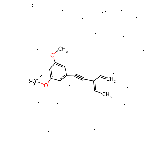 C=C/C(C#Cc1cc(OC)cc(OC)c1)=C\C